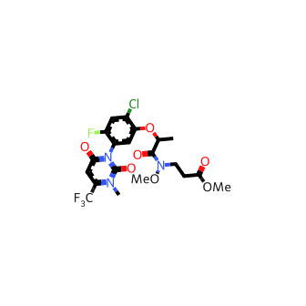 COC(=O)CCN(OC)C(=O)C(C)Oc1cc(-n2c(=O)cc(C(F)(F)F)n(C)c2=O)c(F)cc1Cl